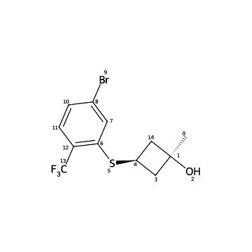 C[C@]1(O)C[C@@H](Sc2cc(Br)ccc2C(F)(F)F)C1